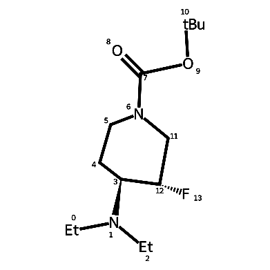 CCN(CC)[C@H]1CCN(C(=O)OC(C)(C)C)C[C@@H]1F